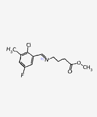 COC(=O)CCC/N=C/c1cc(F)cc(C)c1Cl